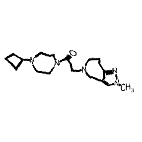 Cn1cc2c(n1)CCN(CC(=O)N1CCN(C3CCC3)CC1)C2